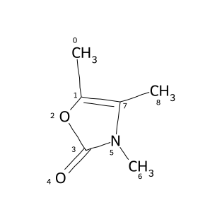 Cc1oc(=O)n(C)c1C